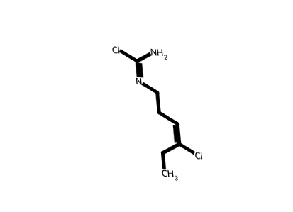 CC/C(Cl)=C\CC/N=C(\N)Cl